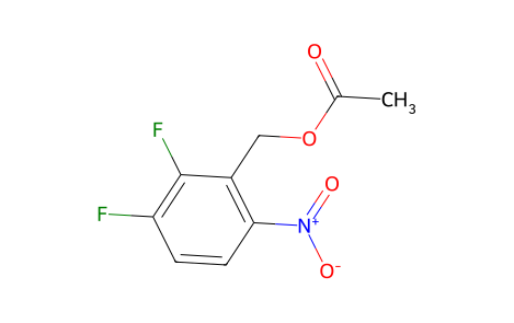 CC(=O)OCc1c([N+](=O)[O-])ccc(F)c1F